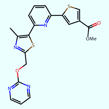 COC(=O)c1csc(-c2cccc(-c3sc(COc4ncccn4)nc3C)n2)c1